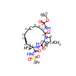 CC(C)S(=O)(=O)NC(=O)[C@@]12C[C@H]1/C=C\CCCCC[C@H](NC(=O)OC(C)(C)C)C(=O)N1C[C@H](C)C[C@H]1C(=O)N2